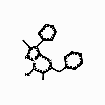 Cc1nn2c(S)c(C)c(Cc3ccccc3)nc2c1-c1ccccc1